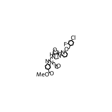 COC(=O)c1ccc2nc(CN3CCN(c4cccc(OCc5ccc(Cl)cc5F)n4)[C@H]4COC[C@H]43)n(C[C@@H]3CCO3)c2c1